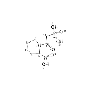 O=C(O)C1CCCCN1C(=O)CP(=O)(O)O